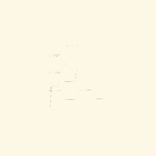 CCCC1=CC=C2[C@H]3Cc4ccc(OC)c5c4[C@@]2(CCN3C)[C@H]1O5